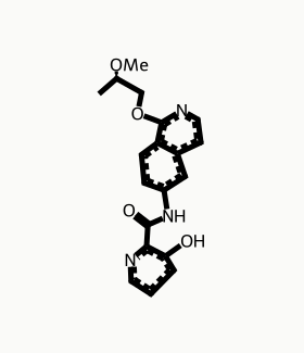 CO[C@@H](C)COc1nccc2cc(NC(=O)c3ncccc3O)ccc12